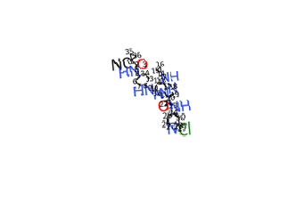 N#CC1(C(=O)N[C@H]2CC[C@H](Nc3cc(NC4CC4)c4ncc(C(=O)Nc5ccnc(Cl)c5)n4n3)CC2)CC1